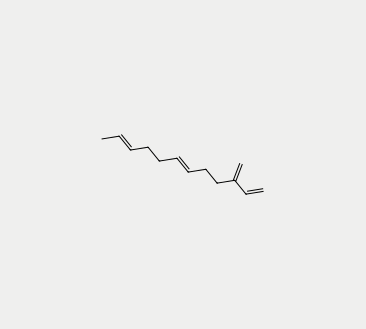 C=CC(=C)CCC=CCCC=CC